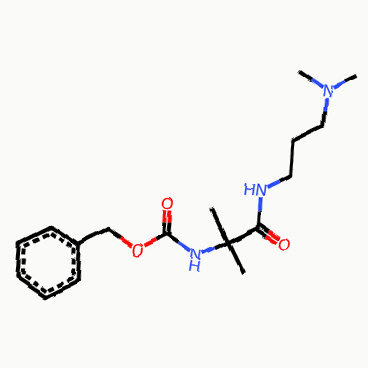 CN(C)CCCNC(=O)C(C)(C)NC(=O)OCc1ccccc1